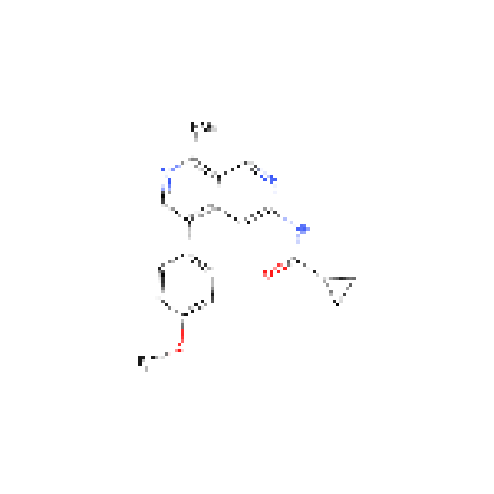 CNc1ncc(-c2ccc(OC(F)(F)F)cc2)c2cc(NC(=O)C3CC3)ncc12